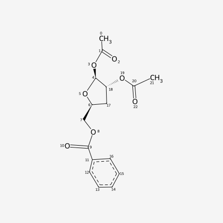 CC(=O)O[C@@H]1O[C@H](COC(=O)c2ccccc2)C[C@H]1OC(C)=O